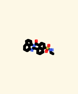 CCNS(=O)(=O)c1ccc2c(=O)n3c4cccc5cccc(nc3c3cccc1c23)c54